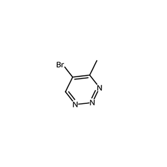 Cc1nnncc1Br